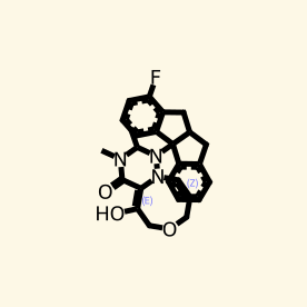 CC1N(C)C(=O)/C2=C(\O)COC/C=C\N2N1C12c3ccccc3CC1Cc1c(F)cccc12